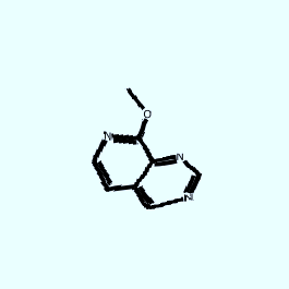 COc1nccc2cncnc12